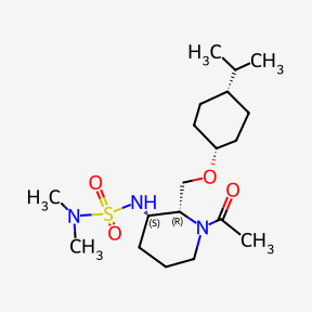 CC(=O)N1CCC[C@H](NS(=O)(=O)N(C)C)[C@@H]1CO[C@H]1CC[C@@H](C(C)C)CC1